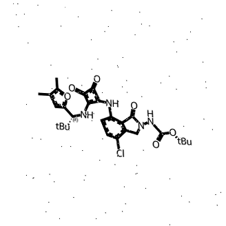 Cc1cc([C@H](Nc2c(Nc3ccc(Cl)c4c3C(=O)N(NC(=O)OC(C)(C)C)C4)c(=O)c2=O)C(C)(C)C)oc1C